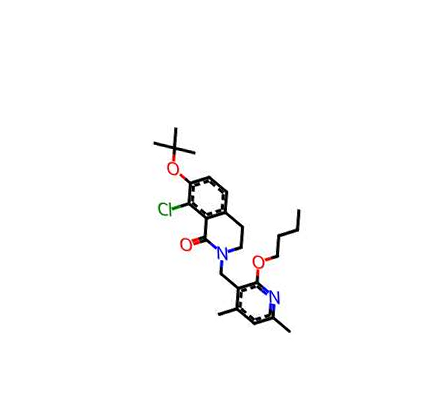 CCCCOc1nc(C)cc(C)c1CN1CCc2ccc(OC(C)(C)C)c(Cl)c2C1=O